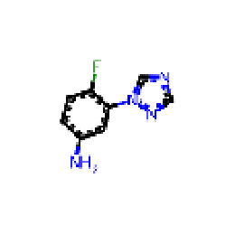 Nc1ccc(F)c(-n2cncn2)c1